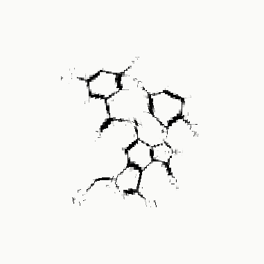 O=C(Nc1cc2c(c(Cl)nn2CC(F)(F)F)c2c1[C@@H](c1cc(F)ccc1Cl)NC2=O)c1cc(F)cc(C(F)(F)F)c1